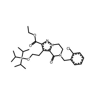 CCOC(=O)c1nn2c(c1CCO[Si](C(C)C)(C(C)C)C(C)C)C(=O)N(Cc1ccccc1Cl)CC2